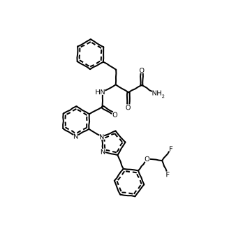 NC(=O)C(=O)C(Cc1ccccc1)NC(=O)c1cccnc1-n1ccc(-c2ccccc2OC(F)F)n1